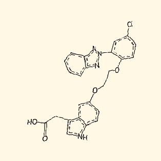 O=C(O)Cc1c[nH]c2ccc(OCCOc3ccc(Cl)cc3-n3nc4ccccc4n3)cc12